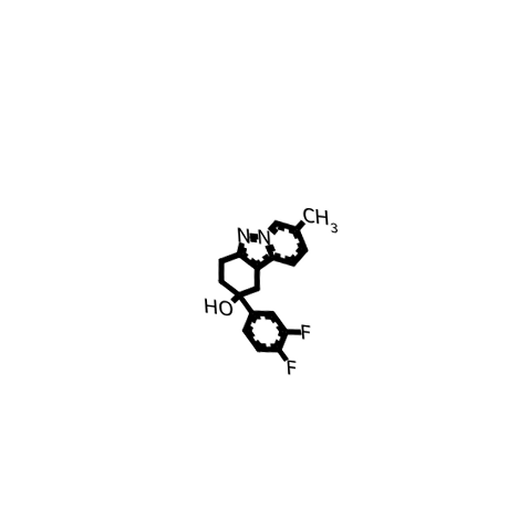 Cc1ccc2c3c(nn2c1)CCC(O)(c1ccc(F)c(F)c1)C3